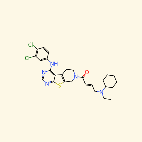 CCN(CC=CC(=O)N1CCc2c(sc3ncnc(Nc4ccc(Cl)c(Cl)c4)c23)C1)C1CCCCC1